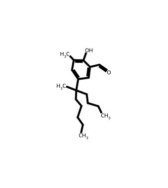 CCCCCC(C)(CCCC)c1cc(C)c(O)c(C=O)c1